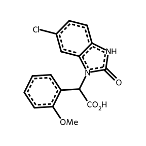 COc1ccccc1C(C(=O)O)n1c(=O)[nH]c2ccc(Cl)cc21